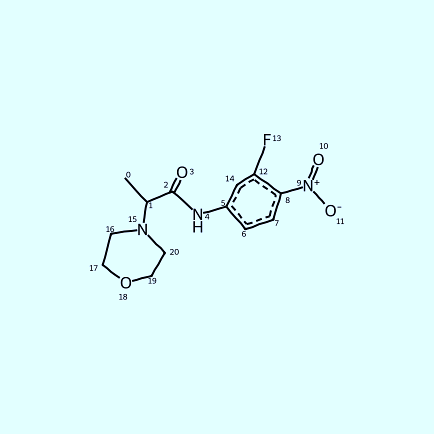 CC(C(=O)Nc1ccc([N+](=O)[O-])c(F)c1)N1CCOCC1